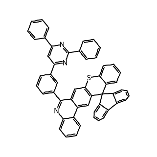 c1ccc(-c2cc(-c3cccc(-c4nc5ccccc5c5cc6c(cc45)Sc4ccccc4C64c5ccccc5-c5ccccc54)c3)nc(-c3ccccc3)n2)cc1